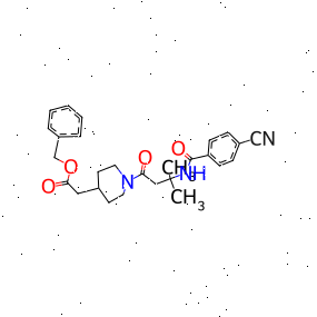 CC(C)(CC(=O)N1CCC(CC(=O)OCc2ccccc2)CC1)NC(=O)c1ccc(C#N)cc1